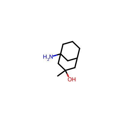 CC1(O)CC2CCCC(N)(C2)C1